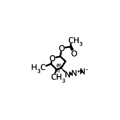 CC(=O)OC1C[C@@H](N=[N+]=[N-])[C@@H](C)C(C)O1